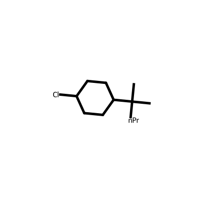 CCCC(C)(C)C1CCC(Cl)CC1